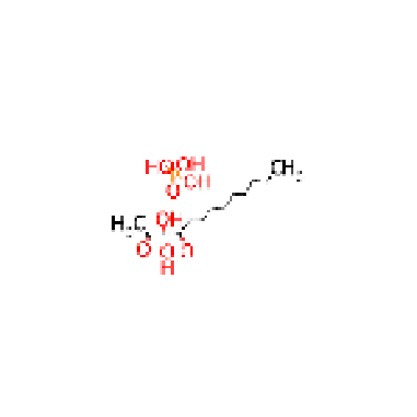 CCCCCCCCCC(=O)C(O)(O)C(C)=O.O=P(O)(O)O